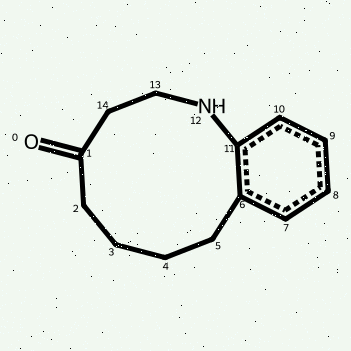 O=C1CCCCc2ccccc2NCC1